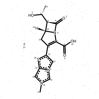 C[C@@H](O)[C@H]1C(=O)N2C(C(=O)O)=C(c3c[n+]4cn(C)cc4s3)C[C@H]12.[I-]